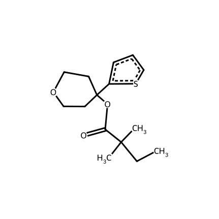 CCC(C)(C)C(=O)OC1(c2cccs2)CCOCC1